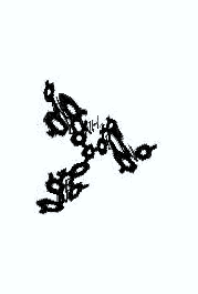 Cc1ccc(N2c3ccc(C)cc3B3c4ccc(-c5cc(-c6ccc7c(c6)C(C)(C)c6c(C)ccc8c6B7c6cc(C)ccc6N8c6ccc(C)cc6)cc(-c6ccc7c(c6)C(C)(N)c6c(C)ccc8c6B7c6cc(C)ccc6N8c6ccc(C)cc6)c5)cc4C(C)(C)c4c(C)ccc2c43)cc1